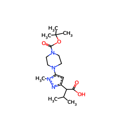 CC(C)C(C(=O)O)c1cc(N2CCN(C(=O)OC(C)(C)C)CC2)n(C)n1